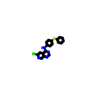 Clc1cc2c(Nc3ccc(Sc4ccccc4)cc3)ncnc2cn1